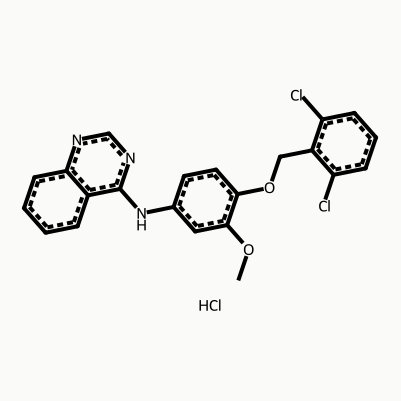 COc1cc(Nc2ncnc3ccccc23)ccc1OCc1c(Cl)cccc1Cl.Cl